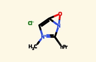 CCCc1n2c(c[n+]1C)O2.[Cl-]